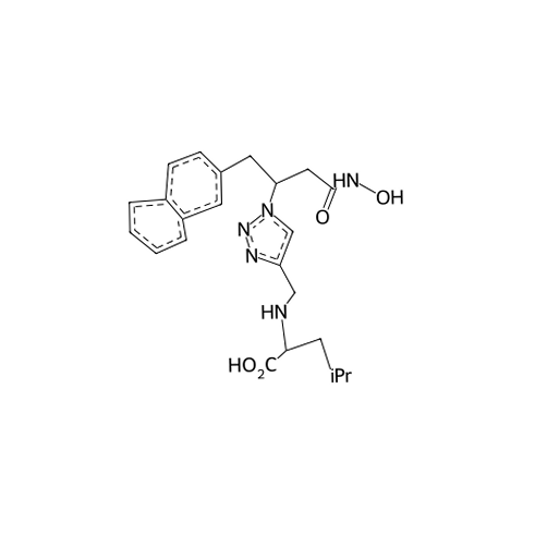 CC(C)CC(NCc1cn(C(CC(=O)NO)Cc2ccc3ccccc3c2)nn1)C(=O)O